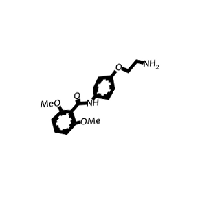 COc1cccc(OC)c1C(=O)Nc1ccc(OCCN)cc1